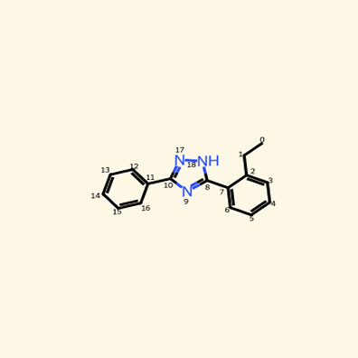 CCc1ccccc1-c1nc(-c2ccccc2)n[nH]1